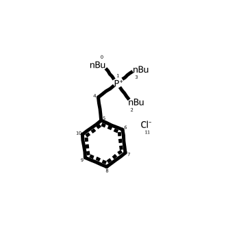 CCCC[P+](CCCC)(CCCC)Cc1ccccc1.[Cl-]